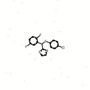 Fc1ccc(F)c(C(Sc2ccc(Cl)cc2)c2nccs2)c1